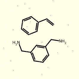 C=Cc1ccccc1.NCc1cccc(CN)c1